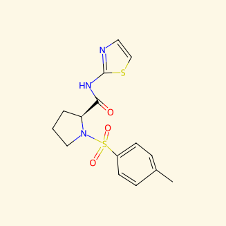 Cc1ccc(S(=O)(=O)N2CCC[C@H]2C(=O)Nc2nccs2)cc1